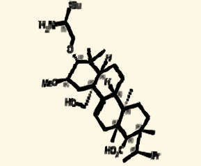 CO[C@@H]1C[C@]2(CO)C3=CC[C@@]4(C)[C@H](C(=O)O)[C@@](C)([C@H](C)C(C)C)CC[C@]4(C)[C@H]3CC[C@H]2C(C)(C)[C@H]1OC[C@@H](N)C(C)(C)C